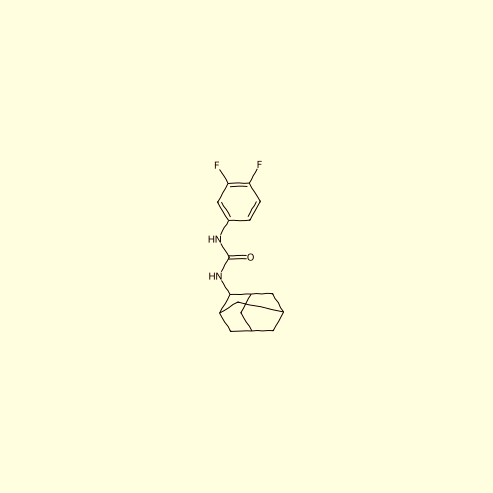 O=C(Nc1ccc(F)c(F)c1)NC1C2CC3CC(C2)CC1C3